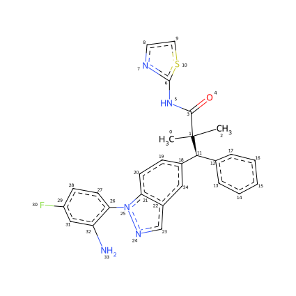 CC(C)(C(=O)Nc1nccs1)[C@@H](c1ccccc1)c1ccc2c(cnn2-c2ccc(F)cc2N)c1